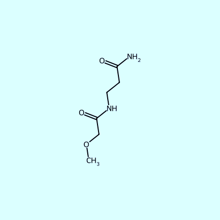 COCC(=O)NCCC(N)=O